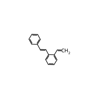 C=Cc1ccccc1C=Cc1ccccc1